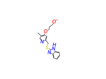 COCCCOc1cc(CSc2nc3ccccc3[nH]2)ncc1C